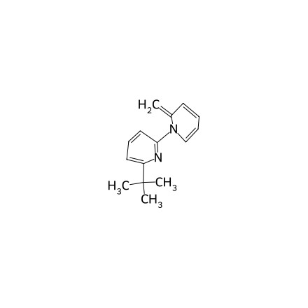 C=C1C=CC=CN1c1cccc(C(C)(C)C)n1